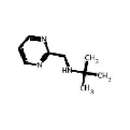 CC(C)(C)NCc1ncccn1